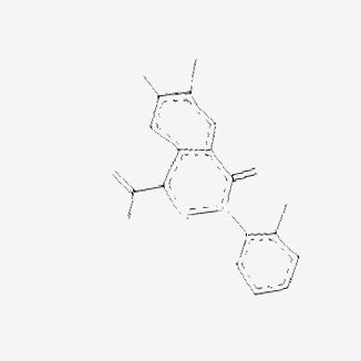 C=C(C)c1nn(-c2ccccc2C)c(=O)c2cc(F)c(F)cc12